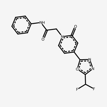 O=C(Cn1ccc(-c2nnc(C(F)F)o2)cc1=O)Nc1ccccc1